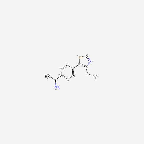 CCc1ncsc1-c1ccc(C(C)N)cc1